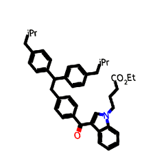 CCOC(=O)CCCn1cc(C(=O)c2ccc(CC(c3ccc(CC(C)C)cc3)c3ccc(CC(C)C)cc3)cc2)c2ccccc21